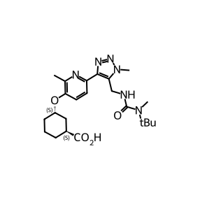 Cc1nc(-c2nnn(C)c2CNC(=O)N(C)C(C)(C)C)ccc1O[C@H]1CCC[C@H](C(=O)O)C1